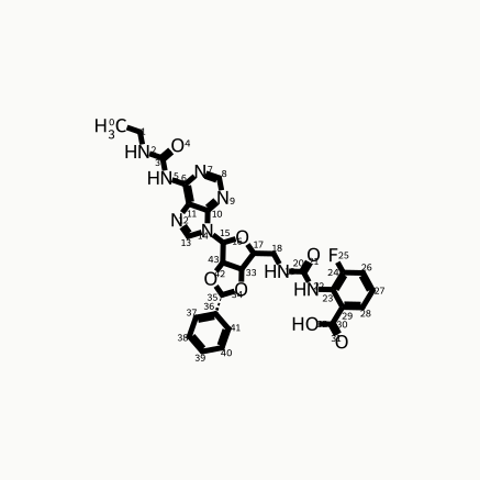 CCNC(=O)Nc1ncnc2c1ncn2C1OC(CNC(=O)Nc2c(F)cccc2C(=O)O)C2O[C@H](c3ccccc3)OC21